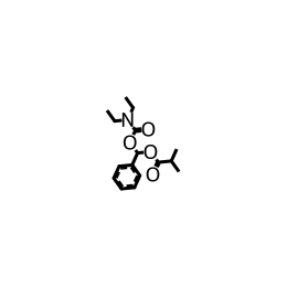 CCN(CC)C(=O)OC(OC(=O)C(C)C)c1ccccc1